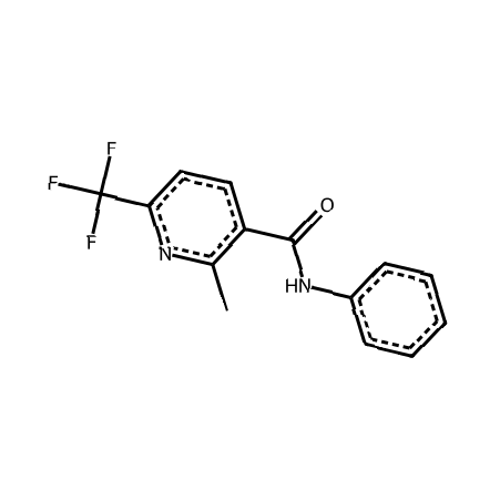 Cc1nc(C(F)(F)F)ccc1C(=O)Nc1ccccc1